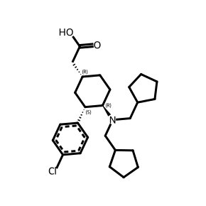 O=C(O)C[C@@H]1CC[C@@H](N(CC2CCCC2)CC2CCCC2)[C@H](c2ccc(Cl)cc2)C1